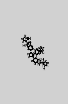 FS(F)(F)(F)(F)c1ccc(N2[C@@H](c3ccc4nc([C@@H]5CCCN5)[nH]c4c3)CC[C@@H]2c2ccc3nc([C@@H]4CCCN4)[nH]c3c2)cc1